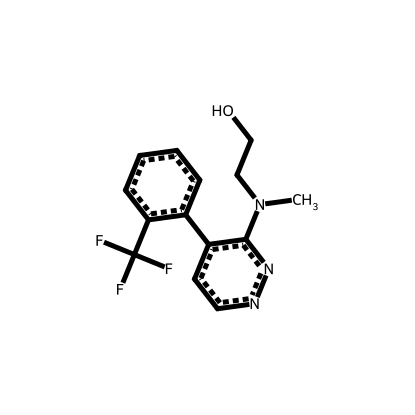 CN(CCO)c1nnccc1-c1ccccc1C(F)(F)F